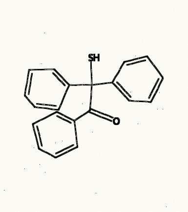 O=C(c1ccccc1)C(S)(c1ccccc1)c1ccccc1